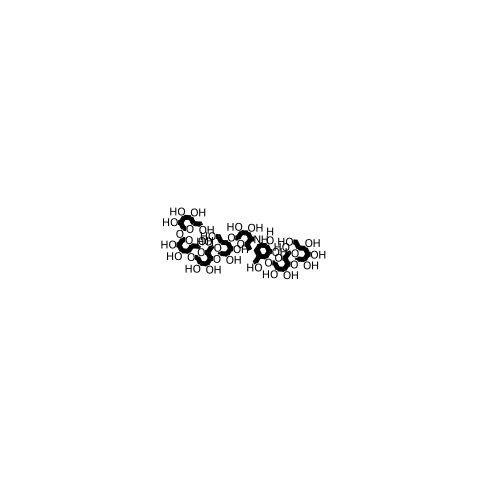 CC1OC(OC2C(CO)OC(OC3C(CO)OC(OC4C(CO)OC(OC5OC(CO)C(O)C(O)C5O)C(O)C4O)C(O)C3O)C(O)C2O)C(O)C(O)C1NC1C=C(CO)C(OC2OC(CO)C(OC3OC(CO)C(O)C(O)C3O)C(O)C2O)C(O)C1O